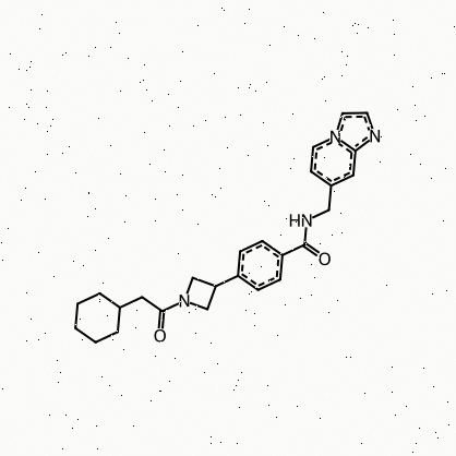 O=C(NCc1ccn2ccnc2c1)c1ccc(C2CN(C(=O)CC3CCCCC3)C2)cc1